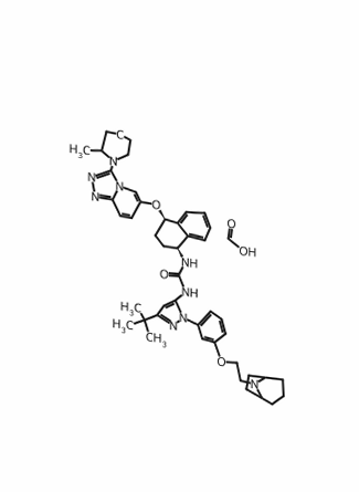 CC1CCCCN1c1nnc2ccc(O[C@@H]3CC[C@H](NC(=O)Nc4cc(C(C)(C)C)nn4-c4cccc(OCCN5C6CCCC5CC6)c4)c4ccccc43)cn12.O=CO